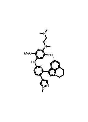 COc1cc(N(C)CCN(C)C)c(N)cc1Nc1ncc(-c2cnn(C)c2)c(-c2cn3c4c(cccc24)CCC3)n1